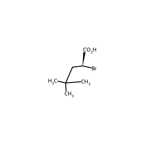 CC(C)(C)C[C@H](Br)C(=O)O